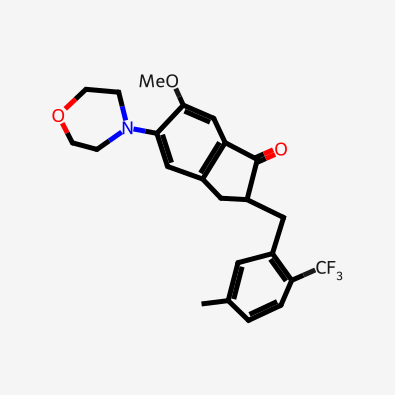 COc1cc2c(cc1N1CCOCC1)CC(Cc1cc(C)ccc1C(F)(F)F)C2=O